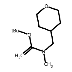 C=C(OC(C)(C)C)N(C)CC1CCOCC1